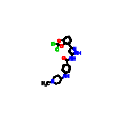 CN1CCC(Nc2ccc(C(=O)Nc3cc(-c4cccc5c4OC(Cl)(Cl)O5)n[nH]3)cc2)CC1